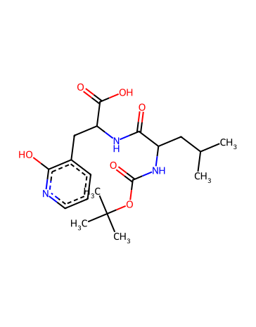 CC(C)CC(NC(=O)OC(C)(C)C)C(=O)NC(Cc1cccnc1O)C(=O)O